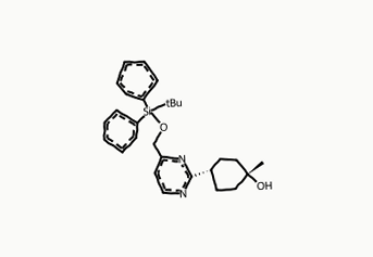 CC(C)(C)[Si](OCc1ccnc([C@H]2CC[C@@](C)(O)CC2)n1)(c1ccccc1)c1ccccc1